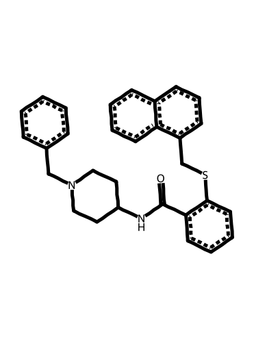 O=C(NC1CCN(Cc2ccccc2)CC1)c1ccccc1SCc1cccc2ccccc12